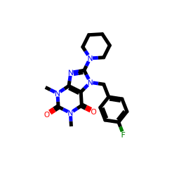 Cn1c(=O)c2c(nc(N3CCCCC3)n2Cc2ccc(F)cc2)n(C)c1=O